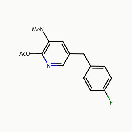 CNc1cc(Cc2ccc(F)cc2)cnc1OC(C)=O